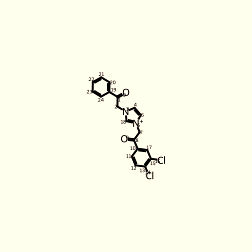 O=C(Cn1cc[n+](CC(=O)c2ccc(Cl)c(Cl)c2)c1)c1ccccc1